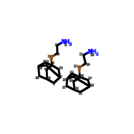 NCCSC12CC3CC(CC(C3)C1)C2.NCCSC12CC3CC(CC(C3)C1)C2